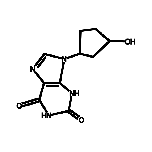 O=c1[nH]c(=O)c2ncn(C3CCC(O)C3)c2[nH]1